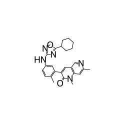 Cc1cc2c(cn1)cc(-c1cc(Nc3noc(C4CCCCC4)n3)ccc1C)c(=O)n2C